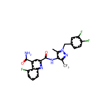 Cc1c(NC(=O)c2cc(C(N)=O)c3c(F)cccc3n2)c(C(F)(F)F)nn1Cc1ccc(F)c(F)c1